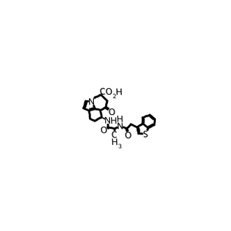 CC(NC(=O)Cc1csc2ccccc12)C(=O)N[C@H]1CCc2ccn3c2C1C(=O)C[C@H](C(=O)O)C3